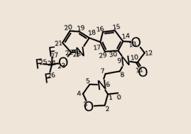 CC1COCCN1CCN1C(=O)COc2ccc(-c3cccc(OC(F)(F)F)n3)cc21